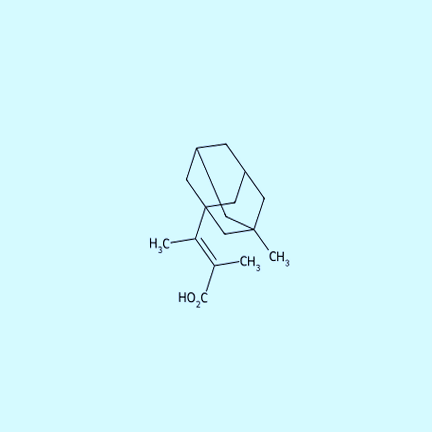 CC(C(=O)O)=C(C)C12CC3CC(CC(C)(C3)C1)C2